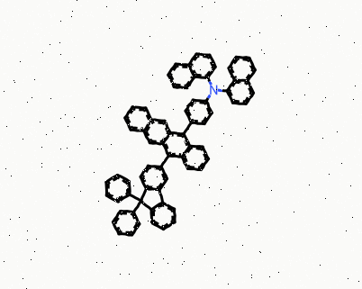 c1ccc(C2(c3ccccc3)c3ccccc3-c3cc(-c4c5ccccc5c(-c5ccc(N(c6cccc7ccccc67)c6cccc7ccccc67)cc5)c5cc6ccccc6cc45)ccc32)cc1